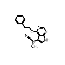 CN(C#N)c1c[nH]c2ncnc(OCCc3ccccc3)c12